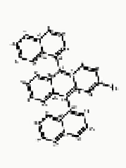 Ic1ccc2c(-c3cccc4ccccc34)c3ccccc3c(-c3cccc4ccccc34)c2c1